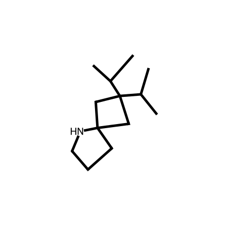 CC(C)C1(C(C)C)CC2(CCCN2)C1